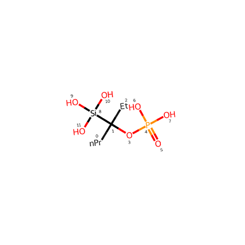 CCCC(CC)(OP(=O)(O)O)[Si](O)(O)O